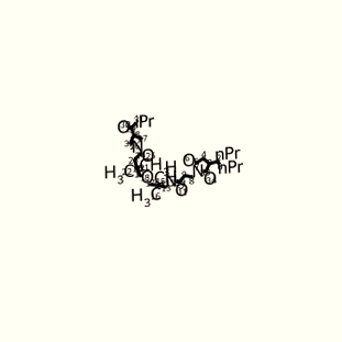 CCCC(CCC)C1CC(=O)N(CCC(=O)NCC(C)(C)COCC(C)(C)CC(=O)N2CC(C(=O)C(C)C)C2)C1=O